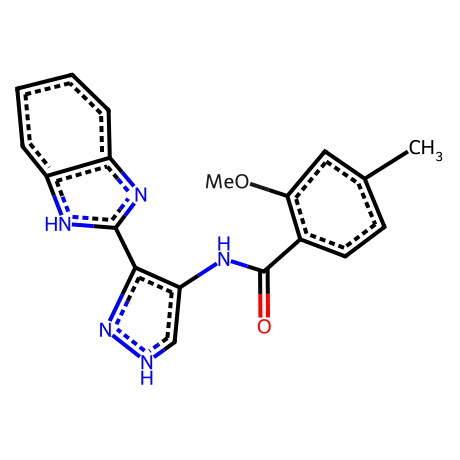 COc1cc(C)ccc1C(=O)Nc1c[nH]nc1-c1nc2ccccc2[nH]1